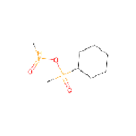 C[PH](=O)OP(C)(=O)C1CCCCC1